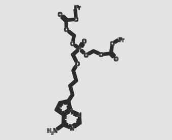 CC(C)OC(=O)OCOP(=O)(COCCCCc1ccc2c(N)ncnn12)OCOC(=O)OC(C)C